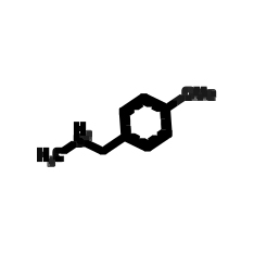 COc1ccc(C[SiH2]C)cc1